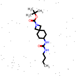 CCCCNC(=O)NC1CCC2(CC1)CN(C(=O)OC(C)(C)C)C2